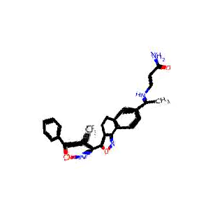 CC(NCCC(N)=O)c1ccc2c(c1)CCc1c-2noc1-c1noc(-c2ccccc2)c1C(F)(F)F